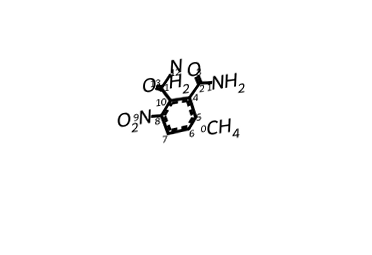 C.NC(=O)c1cccc([N+](=O)[O-])c1C(N)=O